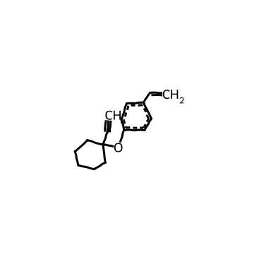 C#CC1(Oc2ccc(C=C)cc2)CCCCC1